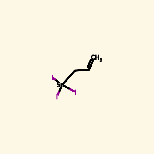 C=C[CH2][Sn]([I])([I])[I]